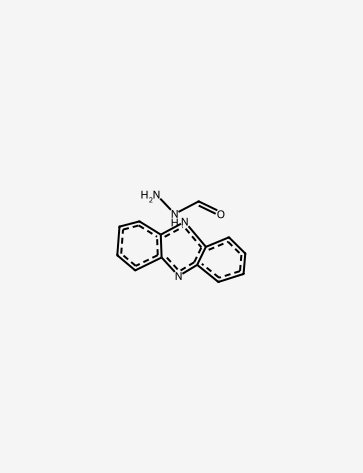 NNC=O.c1ccc2nc3ccccc3nc2c1